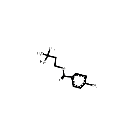 Cc1ccc(C(=O)NC[CH]C(C)(C)C)cc1